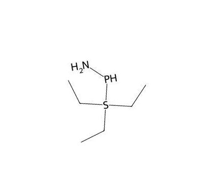 CCS(CC)(CC)PN